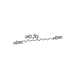 CCCCCCCCCCCCCCCCCC(CCCCCCCCCCCCCCCC)OS(=O)(=O)O